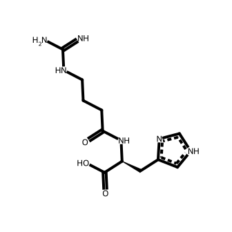 N=C(N)NCCCC(=O)N[C@@H](Cc1c[nH]cn1)C(=O)O